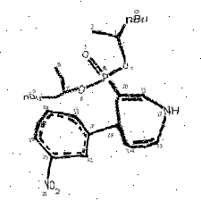 CCCCC(C)OP(=O)(OC(C)CCCC)C1=CNC=CC1c1cccc([N+](=O)[O-])c1